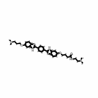 CN(C)CCCOc1ccc2nc(-c3ccc(-c4nc5ccc(OCCCC(=O)NCCN(C)C)cc5[nH]4)cc3)[nH]c2c1